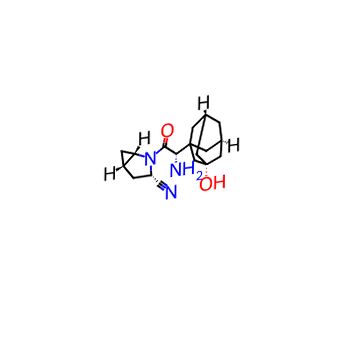 N#C[C@@H]1C[C@@H]2C[C@@H]2N1C(=O)[C@@H](N)C12C[C@H]3C[C@@H](C1)C[C@@](O)(C3)C2